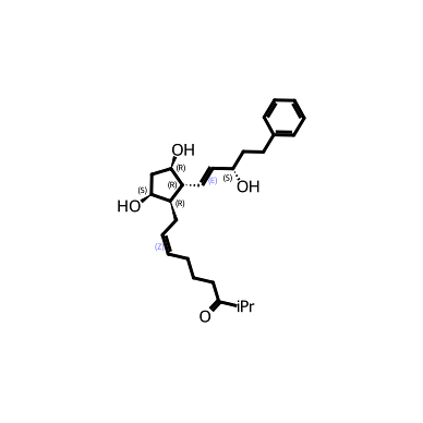 CC(C)C(=O)CCC/C=C\C[C@@H]1[C@@H](/C=C/[C@@H](O)CCc2ccccc2)[C@H](O)C[C@@H]1O